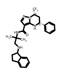 CC(C)(CNC1CCc2ccccc21)NC(=O)c1cnn2c1N[C@@H](c1ccccc1)C[C@H]2C(F)(F)F